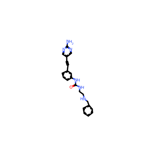 Nc1ncc(C#Cc2cccc(NC(=O)NCCNCc3ccccc3)c2)cn1